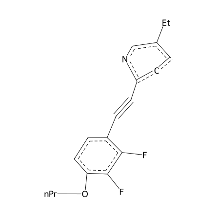 CCCOc1ccc(C#Cc2ccc(CC)cn2)c(F)c1F